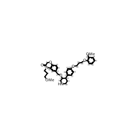 COCCCN1C(=O)COc2ccc(COC3CNCCC3c3ccc(OCCCOc4ccccc4OC)cc3)cc21